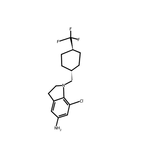 Nc1cc(Cl)c2c(c1)CCN2C[C@H]1CC[C@H](C(F)(F)F)CC1